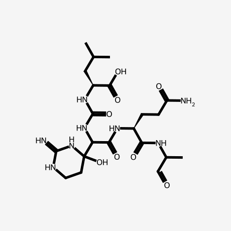 CC(C)C[C@H](NC(=O)NC(C(=O)N[C@@H](CCC(N)=O)C(=O)NC(C)C=O)C1(O)CCNC(=N)N1)C(=O)O